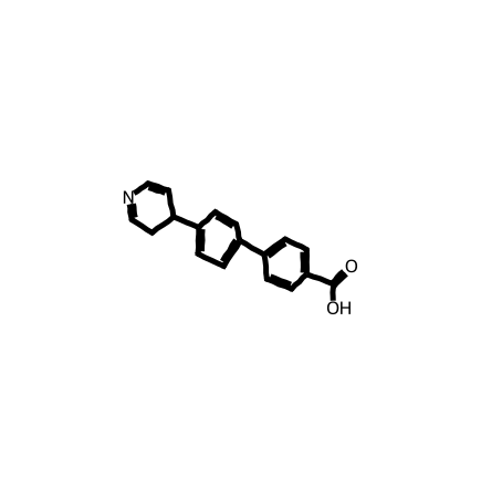 O=C(O)c1ccc(-c2ccc(C3C=CN=CC3)cc2)cc1